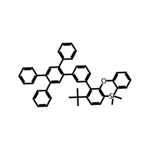 CC(C)(C)c1ccc2c(c1-c1cccc(-c3cc(-c4ccccc4)c(-c4ccccc4)cc3-c3ccccc3)c1)Oc1ccccc1[Si]2(C)C